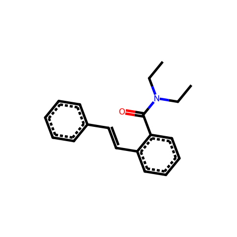 CCN(CC)C(=O)c1ccccc1/C=C/c1ccccc1